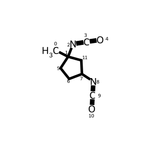 CC1(N=C=O)CCC(N=C=O)C1